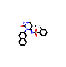 Cc1ccccc1S(=O)(=O)N=C1CCNC(=O)N1c1ccc2ccccc2c1